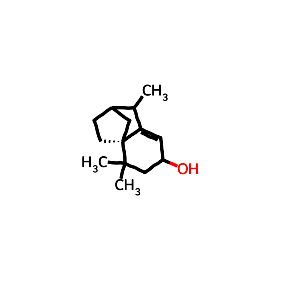 CC1C2=CC(O)CC(C)(C)[C@]23CCC1C3